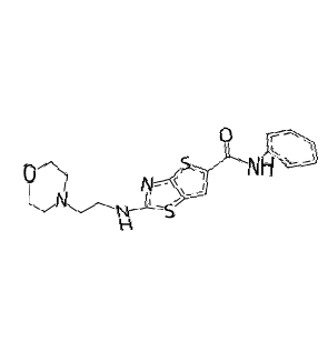 O=C(Nc1ccccc1)c1cc2sc(NCCN3CCOCC3)nc2s1